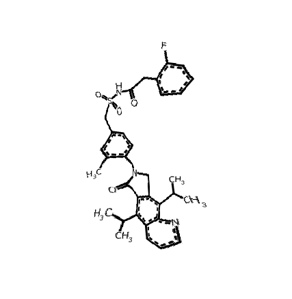 Cc1cc(CS(=O)(=O)NC(=O)Cc2ccccc2F)ccc1N1Cc2c(c(C(C)C)c3cccnc3c2C(C)C)C1=O